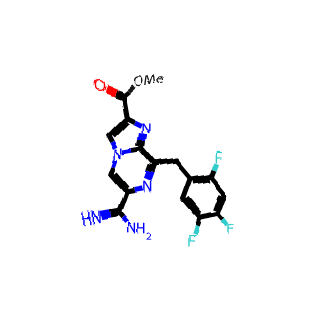 COC(=O)c1cn2cc(C(=N)N)nc(Cc3cc(F)c(F)cc3F)c2n1